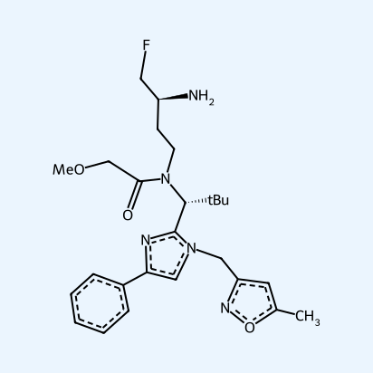 COCC(=O)N(CC[C@H](N)CF)[C@@H](c1nc(-c2ccccc2)cn1Cc1cc(C)on1)C(C)(C)C